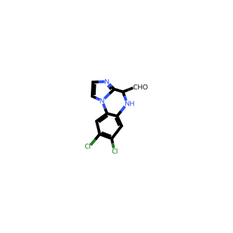 O=CC1Nc2cc(Cl)c(Cl)cc2-n2ccnc21